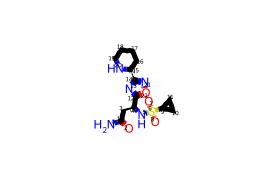 NC(=O)C[C@H](NS(=O)(=O)C1CC1)c1nc([C@H]2CCCCN2)no1